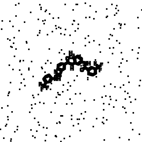 Cc1ccc(NC(=O)c2cccc(C(F)(F)F)c2)cc1NC(=O)c1ccc2nc(Nc3cccc(C(F)(F)F)c3)sc2c1